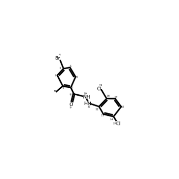 Cc1cc(Br)ccc1C(=O)NNc1cc(Cl)ccc1Cl